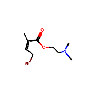 CC(=CCBr)C(=O)OCCN(C)C